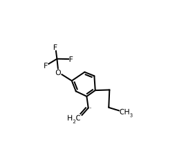 C=[C]c1cc(OC(F)(F)F)ccc1CCC